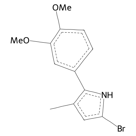 COc1ccc(-c2[nH]c(Br)cc2C)cc1OC